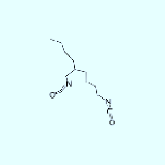 CCCCC(CCCCN=C=O)CN=C=O